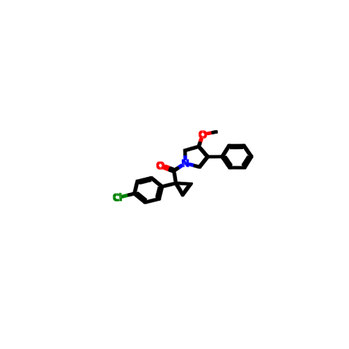 COC1CN(C(=O)C2(c3ccc(Cl)cc3)CC2)CC1c1ccccc1